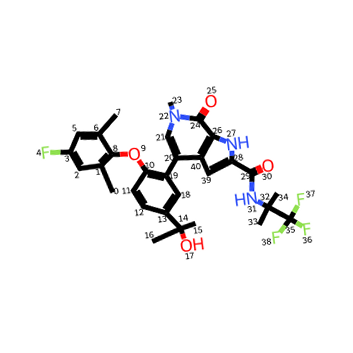 Cc1cc(F)cc(C)c1Oc1ccc(C(C)(C)O)cc1-c1cn(C)c(=O)c2[nH]c(C(=O)NC(C)(C)C(F)(F)F)cc12